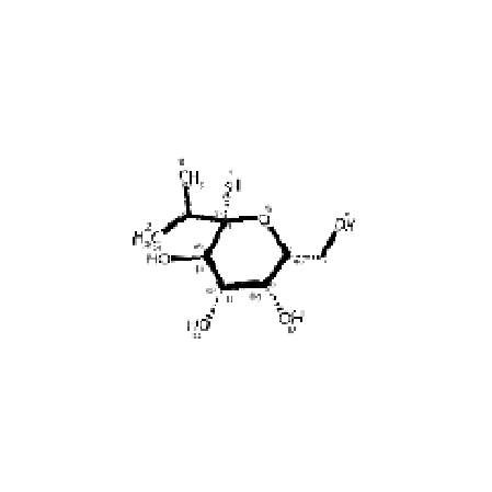 CC(C)[C@@]1(S)O[C@H](CO)[C@H](O)[C@H](O)[C@H]1O